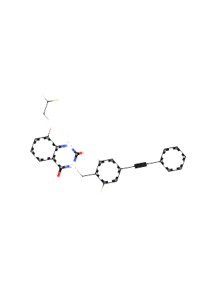 O=c1[nH]c2c(OCC(F)F)cccc2c(=O)n1Cc1c(F)cc(C#Cc2ccccc2)cc1F